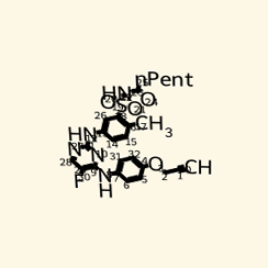 C#CCOc1ccc(Nc2nc(Nc3ccc(C)c(S(=O)(=O)NC(=O)CCCCC)c3)ncc2F)cc1